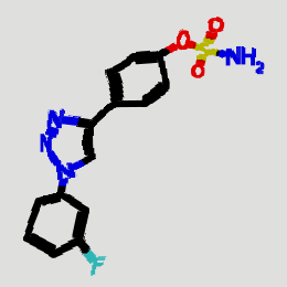 NS(=O)(=O)Oc1ccc(-c2cn(-c3cccc(F)c3)nn2)cc1